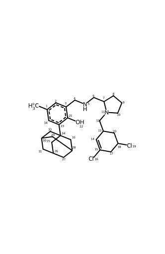 Cc1cc(CNCC2CCCN2CC2C=C(Cl)CC(Cl)C2)c(O)c(C23CC4CC(CC(C4)C2)C3)c1